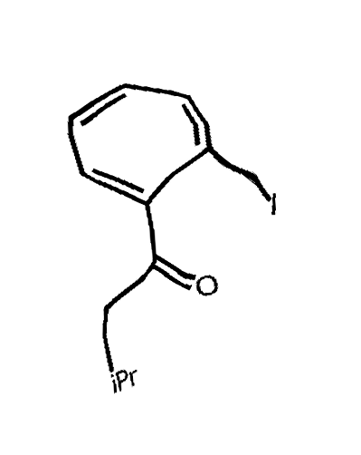 CC(C)CC(=O)c1ccccc1I